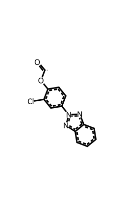 O=[C]Oc1ccc(-n2nc3ccccc3n2)cc1Cl